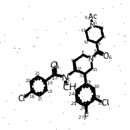 CC(=O)N1CCC(C(=O)N2CCC(N(C)C(=O)c3ccc(Cl)cc3)C(c3ccc(F)c(Cl)c3)C2)CC1